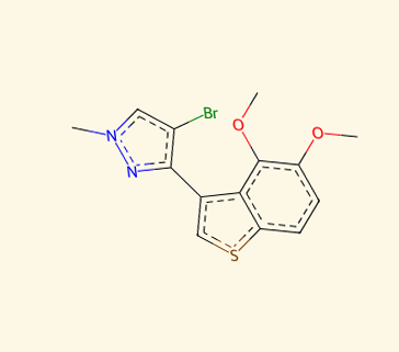 COc1ccc2scc(-c3nn(C)cc3Br)c2c1OC